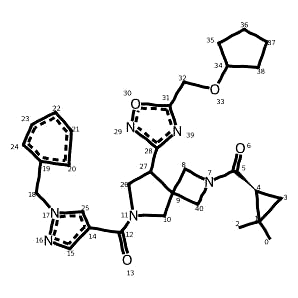 CC1(C)C[C@@H]1C(=O)N1CC2(CN(C(=O)c3cnn(Cc4ccccc4)c3)CC2c2noc(COC3CCCC3)n2)C1